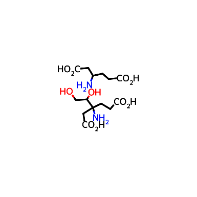 NC(CCC(=O)O)(CC(=O)O)C(O)CO.NC(CCC(=O)O)CC(=O)O